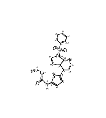 CC(C)(C)OC(=O)Nc1ccc(C2C=CN=C3C2C=CN3S(=O)(=O)c2ccccc2)s1